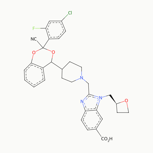 N#CC1(c2ccc(Cl)cc2F)Oc2ccccc2C(C2CCN(Cc3nc4ccc(C(=O)O)cc4n3C[C@@H]3CCO3)CC2)O1